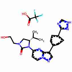 CC(C)[C@H]1CN(CCO)C(=O)N1c1ccn2ncc(-c3ccc(-c4nc[nH]n4)cc3)c2n1.O=C(O)C(F)(F)F